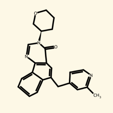 Cc1cc(Cc2cc3c(=O)n([C@@H]4CCCOC4)cnc3c3ccccc23)ccn1